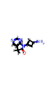 CC1(C)C(=O)N(C2CC(N)C2)c2ncncc21